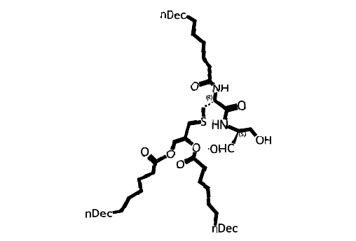 CCCCCCCCCCCCCCCC(=O)N[C@@H](CSCC(COC(=O)CCCCCCCCCCCCCCC)OC(=O)CCCCCCCCCCCCCCC)C(=O)N[C@H]([C]=O)CO